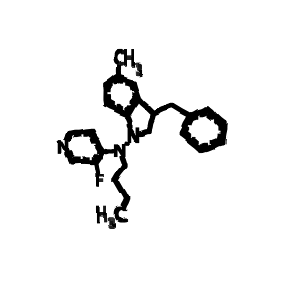 CCCCN(c1ccncc1F)N1CC(Cc2ccccc2)c2cc(C)ccc21